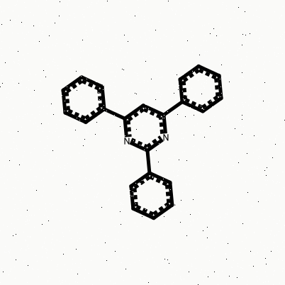 [c]1cccc(-c2nc(-c3ccccc3)cc(-c3ccccc3)n2)c1